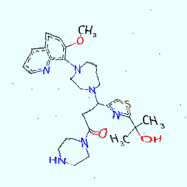 COc1ccc2cccnc2c1N1CCCN(C(CC(=O)N2CCNCC2)c2csc(C(C)(C)O)n2)CC1